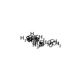 C=C(C)C(=O)OCCC[SiH2]O[Si](C)(C)CC[SiH2]O[Si](C)(C)CC[SiH2]O[Si](C)(C)C